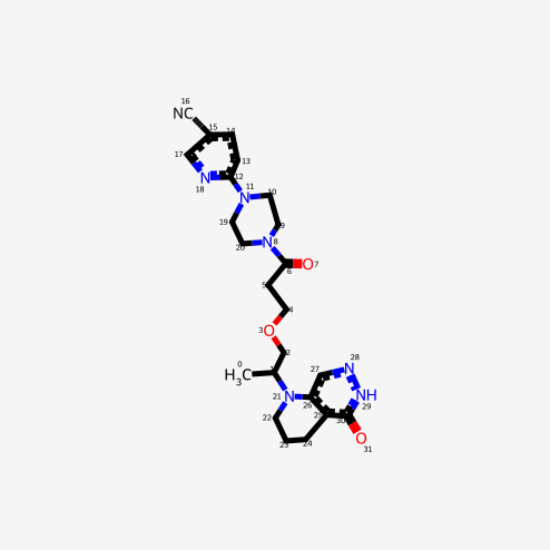 CC(COCCC(=O)N1CCN(c2ccc(C#N)cn2)CC1)N1CCCc2c1cn[nH]c2=O